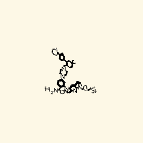 CC1(C)CCC(CN2CCN(c3ccc(C(N)=O)c(-n4ncc5nc6c(ccn6COCC[Si](C)(C)C)cc54)c3)CC2)=C(c2ccc(Cl)cc2)C1